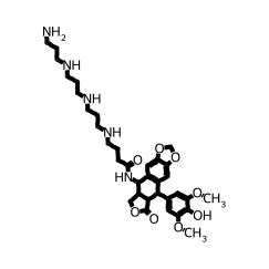 COc1cc(C2c3cc4c(cc3C(NC(=O)CCCNCCCNCCCNCCCN)C3COC(=O)C23)OCO4)cc(OC)c1O